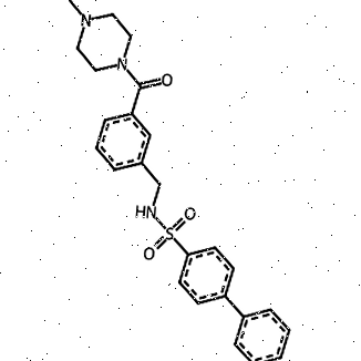 CN1CCN(C(=O)c2cccc(CNS(=O)(=O)c3ccc(-c4ccccc4)cc3)c2)CC1